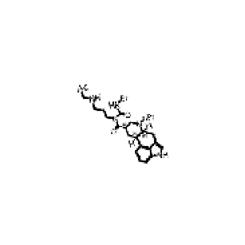 CCCN1C[C@H](C(=O)N(CCCNCC(C)=O)C(=O)NCC)C[C@@H]2c3cccc4[nH]cc(c34)C[C@H]21